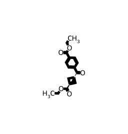 CCOC(=O)c1ccc(C(=O)[C@]23C[C@@](C(=O)OCC)(C2)C3)cc1